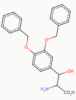 NC(C(=O)O)C(O)c1ccc(OCc2ccccc2)c(OCc2ccccc2)c1